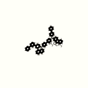 CC1(C)c2ccccc2-c2ccc(N(c3ccc(-c4ccccc4)cc3)c3ccc(-c4ccc(N(C5=CC=C(c6cccc(-c7ccccc7)c6)CC5)c5cccc6ccccc56)cc4)cc3)cc21